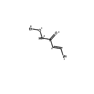 CCONC(=O)C=CC(C)C